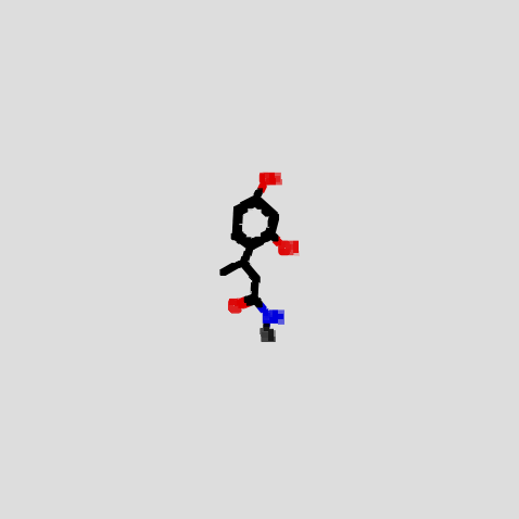 CCNC(=O)CC(C)c1ccc(O)cc1O